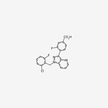 O=C(O)c1ccc(-c2nn(Cc3c(F)cccc3Cl)c3cccnc23)c(F)c1